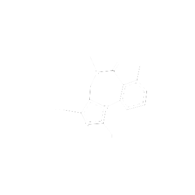 CCc1nc(C(=O)O)c2n1-c1cccc(C)c1C(=O)N(C)C2